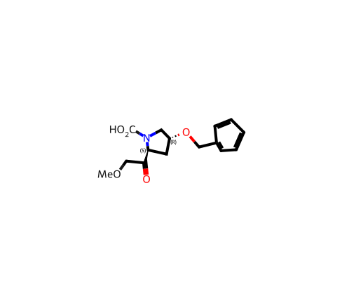 COCC(=O)[C@@H]1C[C@@H](OCc2ccccc2)CN1C(=O)O